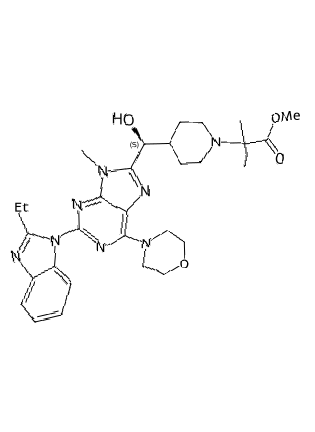 CCc1nc2ccccc2n1-c1nc(N2CCOCC2)c2nc([C@@H](O)C3CCN(C(C)(C)C(=O)OC)CC3)n(C)c2n1